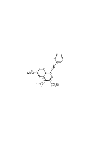 CCOC(=O)c1cc(C#Cc2ccccc2)c2ccc(OC)cc2c1C(=O)OCC